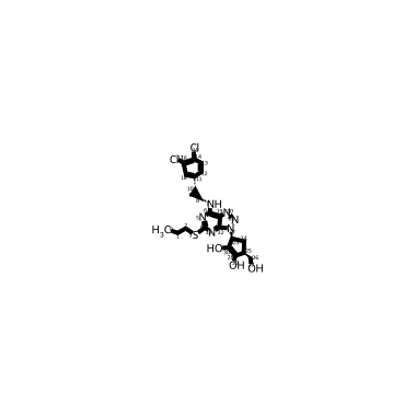 CCCSc1nc(N[C@@H]2C[C@@H]2c2ccc(Cl)c(Cl)c2)c2nnn([C@H]3C[C@@H](CO)C(O)=C3O)c2n1